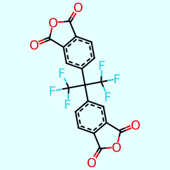 O=C1OC(=O)c2cc(C(c3ccc4c(c3)C(=O)OC4=O)(C(F)(F)F)C(F)(F)F)ccc21